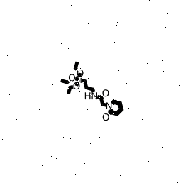 CCO[Si](CCCNC(=O)Cn1ccccc1=O)(OCC)OCC